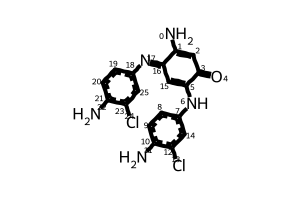 NC1=CC(=O)C(Nc2ccc(N)c(Cl)c2)=CC1=Nc1ccc(N)c(Cl)c1